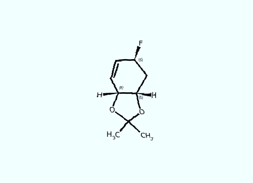 CC1(C)O[C@H]2C[C@H](F)C=C[C@H]2O1